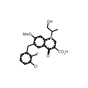 COc1cc2c(cc1Cc1cccc(Cl)c1F)c(=O)c(C(=O)O)cn2C(C)CO